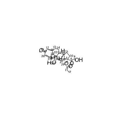 CCC(=O)O[C@@]1(C(=O)CO)CC[C@H]2[C@@H]3CCC4=CC(=O)C=C[C@]4(C)[C@H]3[C@@H](O)C[C@@]21C